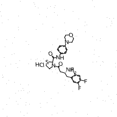 Cl.N[C@@H](CC(=O)N1CCSC1C(=O)Nc1ccc(N2CCOCC2)cc1)Cc1cc(F)c(F)cc1F